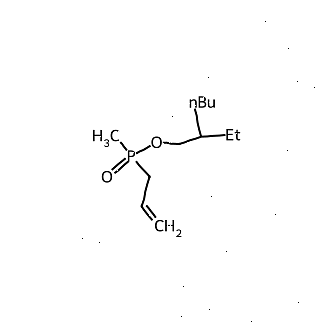 C=CCP(C)(=O)OCC(CC)CCCC